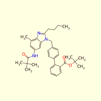 CCCCc1nc2c(C)cc(NC(=O)C(C)(C)C)cc2n1Cc1ccc(-c2ccccc2C(=O)OC(C)(C)C)cc1